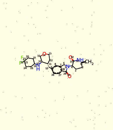 C=C1CCC(N2Cc3cc(C[C@H]4CCOC[C@@H]4NC4CCC(F)(F)CC4)ccc3C2=O)C(=O)N1